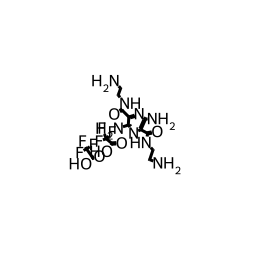 NCCNC(=O)c1nc(N)c(C(=O)NCCN)nc1N.O=C(O)C(F)(F)F.O=C(O)C(F)(F)F